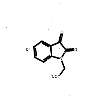 O=C([O-])CN1C(=O)C(=O)c2ccccc21.[K+]